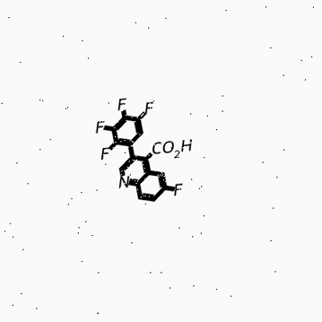 O=C(O)c1c(-c2cc(F)c(F)c(F)c2F)cnc2ccc(F)cc12